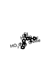 CCS(=O)(=O)Nc1cc2oc(-c3ccc(F)cc3)c(C(=O)NC)c2cc1C1CCCN(C(=O)[C@H](NC(=O)O)c2ccccc2F)C1